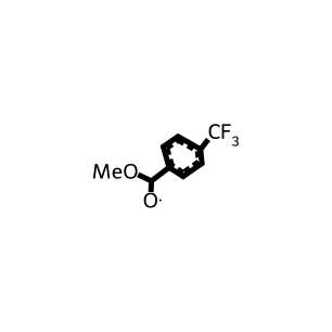 COC([O])c1ccc(C(F)(F)F)cc1